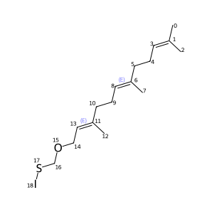 CC(C)=CCC/C(C)=C/CC/C(C)=C/COCSI